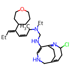 CC/C=C(\C=C/C(C)N(CC)CNC1=C/NC/C2=C/CC(Cl)\N=C\1CC2)C1CCCOCC1